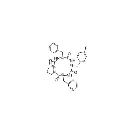 O=C1N[C@H](Cc2ccc(F)cc2)C(=O)N[C@@H](Cc2cccnc2)C(=O)N2CCC[C@@H]2C(=O)N[C@H]1Cc1ccccc1